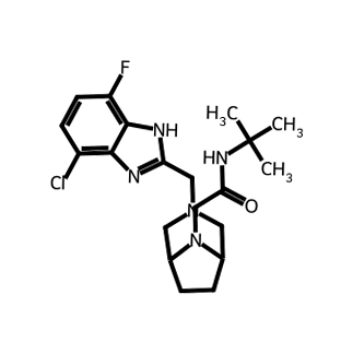 CC(C)(C)NC(=O)CN1C2CCC1CN(Cc1nc3c(Cl)ccc(F)c3[nH]1)C2